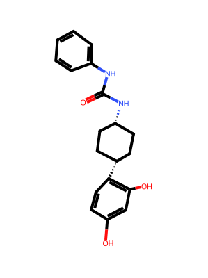 O=C(Nc1ccccc1)N[C@H]1CC[C@@H](c2ccc(O)cc2O)CC1